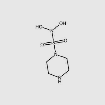 O=S(=O)(N(O)O)N1CCNCC1